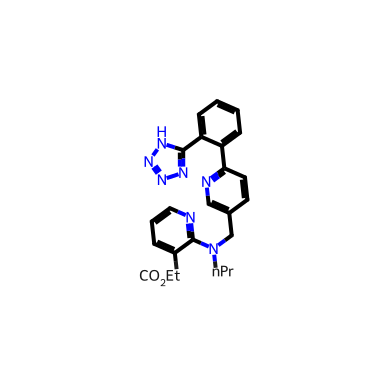 CCCN(Cc1ccc(-c2ccccc2-c2nnn[nH]2)nc1)c1ncccc1C(=O)OCC